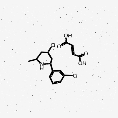 CC1CC(Cl)CC(c2cccc(Cl)c2)N1.O=C(O)/C=C/C(=O)O